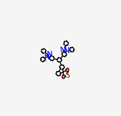 c1ccc(-c2nc3cc(-c4cc(-c5ccc6c(c5)-c5ccccc5C65c6ccccc6Sc6ccccc65)cc(-c5ccc6c(c5)nc(-c5ccccc5)n6-c5ccccc5)c4)ccc3n2-c2ccccc2)cc1